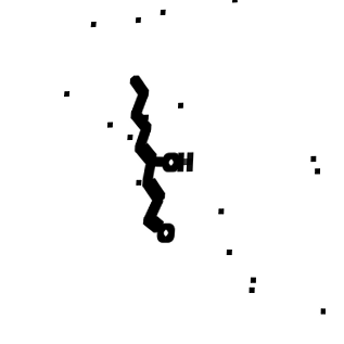 CCCCC=C(O)C=CC=O